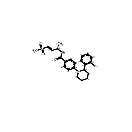 C[C@H](/C=C/S(C)(=O)=O)NC(=O)c1ccc(N2CCCCC2c2ccccc2F)cc1